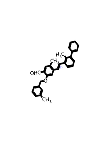 Cc1cccc(COc2cc(/C=C/c3cccc(C4=CCCC=C4)c3C)c(C)cc2C=O)c1